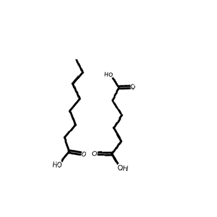 CCCCCCCC(=O)O.O=C(O)CCCCC(=O)O